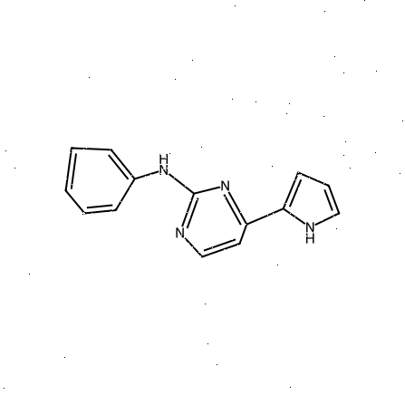 c1ccc(Nc2nccc(-c3ccc[nH]3)n2)cc1